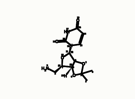 CC1(C)OC2[C@@H](O1)[C@@H](CN)O[C@H]2n1ccc(=O)[nH]c1=O